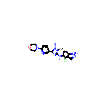 CN1NC(c2ccc(N3CCOCC3)nc2)N=C1Nc1ccc2[nH]ncc2c1Cl